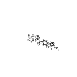 Cc1cc(C(=O)NC(C)CN2CCCC2C)ccc1-c1noc(C(F)(F)F)n1